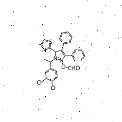 CC(c1ccc(Cl)c(Cl)c1)N1C(c2nccs2)C(c2ccccc2)=C(c2ccccc2)N1OC=O